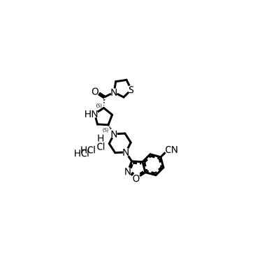 Cl.Cl.Cl.N#Cc1ccc2onc(N3CCN([C@@H]4CN[C@H](C(=O)N5CCSC5)C4)CC3)c2c1